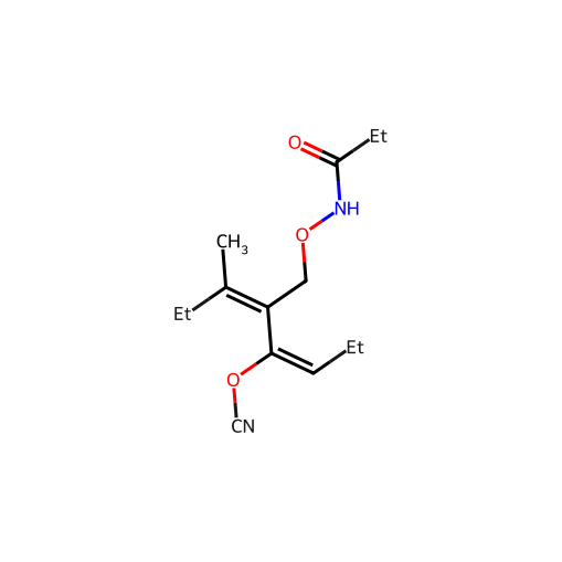 CC/C=C(OC#N)\C(CONC(=O)CC)=C(\C)CC